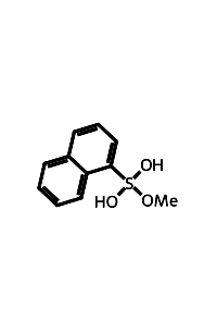 COS(O)(O)c1cccc2ccccc12